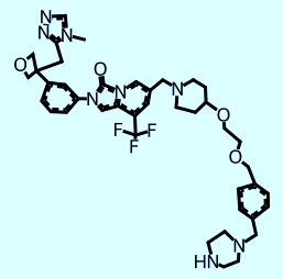 Cn1cnnc1CC1(c2cccc(-n3cc4c(C(F)(F)F)cc(CN5CCC(OCCOCc6ccc(CN7CCNCC7)cc6)CC5)cn4c3=O)c2)COC1